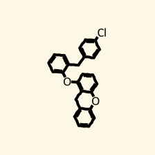 Clc1ccc(Cc2ccccc2Oc2cccc3c2Cc2ccccc2O3)cc1